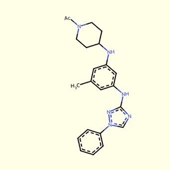 CC(=O)N1CCC(Nc2cc(C)cc(Nc3ncn(-c4ccccc4)n3)c2)CC1